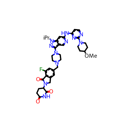 COC1CCN(c2nccc(Nc3cc4c(cn3)c(N3CCN(Cc5cc(F)c6c(c5)CN(C5CCC(=O)NC5=O)C6=O)CC3)nn4C(C)C)n2)CC1